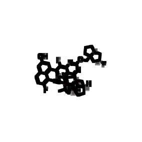 CC(C)[Si](C#Cc1c(F)ccc2cc(O)cc(-c3nc(CO)c4c(N5C[C@H]6CC[C@@H](C5)N6)nc(OC[C@@]56CCCN5C[C@H](F)C6)nc4c3F)c12)(C(C)C)C(C)C